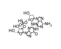 Nc1nc2c(ncn2[C@@H]2O[C@H](CO)C(O)[C@@H]2OP(=O)(S)OC[C@H]2O[C@@H](n3cnc4c(N)ncnc43)CC2O)c(=O)[nH]1